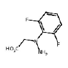 NN(CC(=O)O)c1c(F)cccc1F